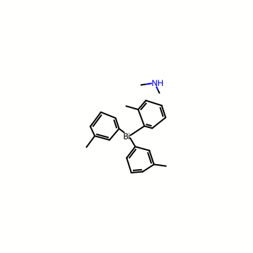 CNC.Cc1ccc[c]([Bi]([c]2cccc(C)c2)[c]2ccccc2C)c1